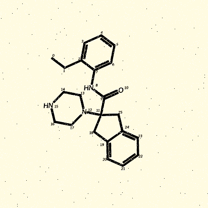 CCc1ccccc1NC(=O)C1(N2CCNCC2)Cc2ccccc2C1